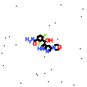 NC(=O)c1ccc(F)c(C(O)c2c[nH]c3ncc(N4CCOCC4)cc23)c1F